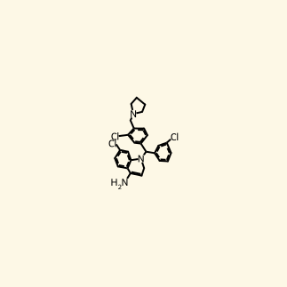 NC1=CCN(C(c2cccc(Cl)c2)c2ccc(CN3CCCC3)c(Cl)c2)c2cc(Cl)ccc21